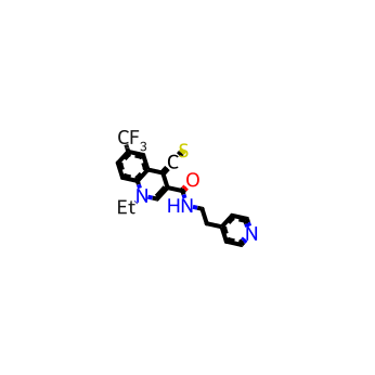 CCN1C=C(C(=O)NCCc2ccncc2)C(=C=S)c2cc(C(F)(F)F)ccc21